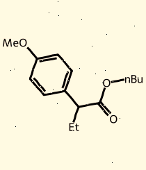 CCCCOC(=O)C(CC)c1ccc(OC)cc1